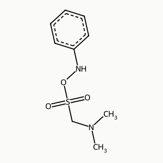 CN(C)CS(=O)(=O)ONc1ccccc1